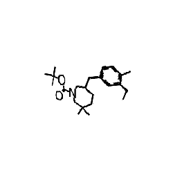 CCc1cc(CC2CCC(C)(C)CN(C(=O)OC(C)(C)C)C2)ccc1C